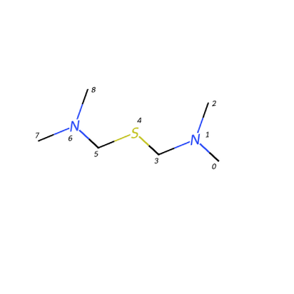 CN(C)CSCN(C)C